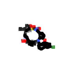 CO[C@H]1C/C=C/[C@H](O)[C@@H]2CC[C@H]2CN2C[C@@]3(CCCc4cc(Cl)ccc43)COc3ccc(cc32)C(=O)NS(=O)(=O)[C@@H]1C(C)C